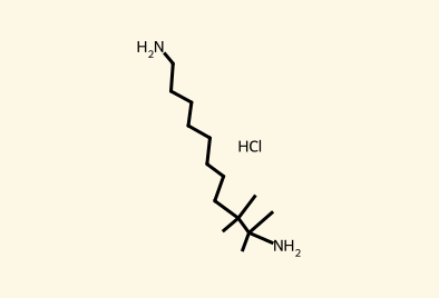 CC(C)(N)C(C)(C)CCCCCCCCN.Cl